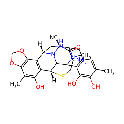 Cc1cc2c(c(O)c1O)C1C3[C@@H]4SCC(N)C(=O)NC[C@@H](c5c6c(c(C)c(O)c54)OCO6)N3[C@@H](C#N)C(C2)N1C